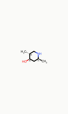 C[C@@H]1CN[C@@H](C)C[C@H]1O